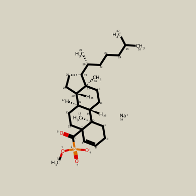 COP(=O)([O-])C(=O)C12C=CCC[C@]1(C)[C@H]1CC[C@]3(C)[C@@H]([C@H](C)CCCC(C)C)CC[C@H]3[C@@H]1CC2.[Na+]